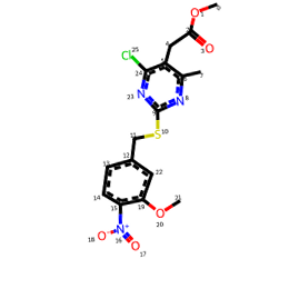 COC(=O)Cc1c(C)nc(SCc2ccc([N+](=O)[O-])c(OC)c2)nc1Cl